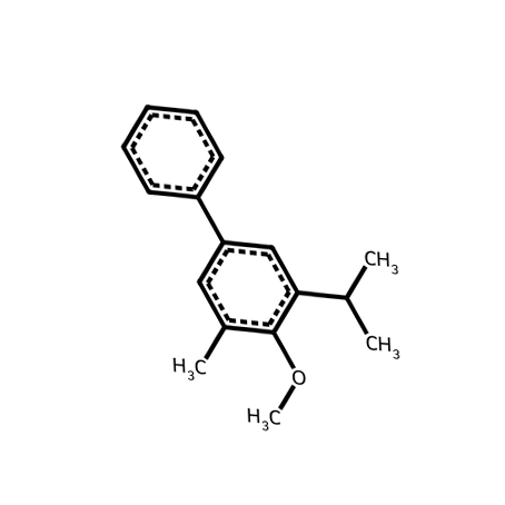 COc1c(C)cc(-c2ccccc2)cc1C(C)C